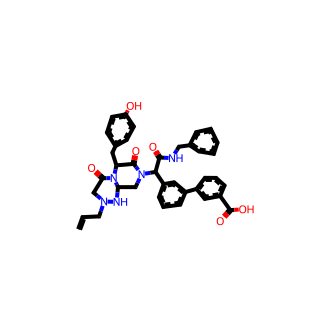 C=CCN1CC(=O)N2C(CN(C(C(=O)NCc3ccccc3)c3cccc(-c4cccc(C(=O)O)c4)c3)C(=O)C2Cc2ccc(O)cc2)N1